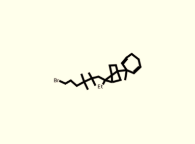 CCC1(CC(C)(C)C(C)(C)CCCBr)C2CC3(C4(C)C=CCCC=C4)CCC213